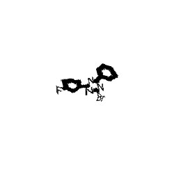 Fc1cccc(-c2nc(Br)nc(-c3ccccc3)n2)c1